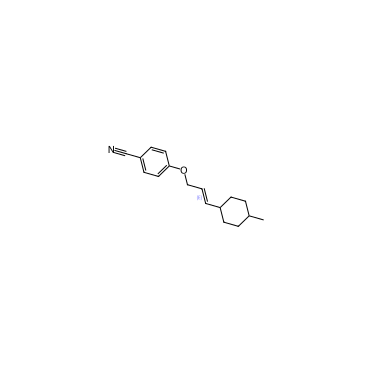 CC1CCC(/C=C/COc2ccc(C#N)cc2)CC1